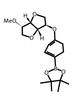 CO[C@H]1CO[C@@H]2[C@H]1OC[C@H]2OC1=CC=C(B2OC(C)(C)C(C)(C)O2)CC1